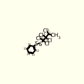 CC(Cl)C(Cl)(Cl)C(Cl)(Cl)SSc1ccccc1